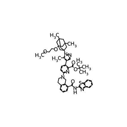 COCCOC12CC3(C)CC(C)(C1)CC(n1ncc(-c4ccc(N5CCc6cccc(C(=O)Nc7nc8ccccc8s7)c6C5)nc4C(=O)OC(C)(C)C)c1C)(C3)C2